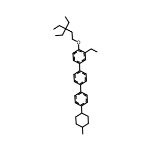 CCc1cc(-c2ccc(-c3ccc(C4CCC(C)CC4)cc3)cc2)ccc1OCCC(CC)(CC)CC